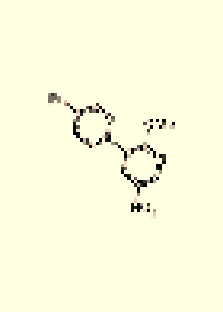 COc1ncc([N+](=O)[O-])cc1-c1ccc(C(C)C)cc1